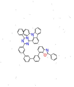 c1ccc(-c2nc(-c3cccc(-c4cccc(-c5cccc(-c6cccc7nc(-c8ccccc8)oc67)c5)c4)c3)nc(-c3cccc4c5ccccc5n(-c5ccccc5)c34)n2)cc1